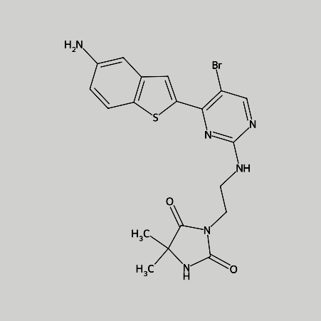 CC1(C)NC(=O)N(CCNc2ncc(Br)c(-c3cc4cc(N)ccc4s3)n2)C1=O